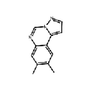 Cc1cc2ncn3nccc3c2cc1C